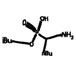 CCCCC(N)P(=O)(O)OC(C)CC